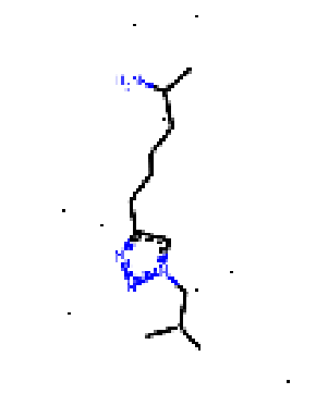 CC(C)Cn1cc(CCCCC(C)N)nn1